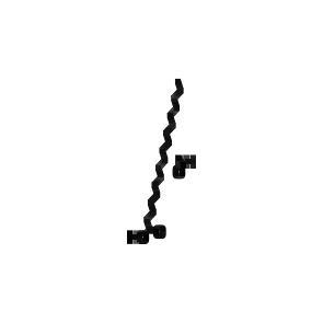 CCCCCCCCCCCCCCCCCC(=O)O.N=O